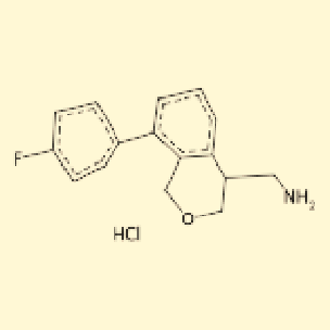 Cl.NCC1COCc2c(-c3ccc(F)cc3)cccc21